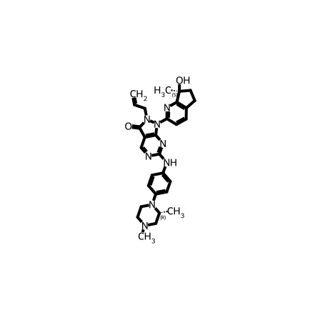 C=CCn1c(=O)c2cnc(Nc3ccc(N4CCN(C)C[C@H]4C)cc3)nc2n1-c1ccc2c(n1)[C@@](C)(O)CC2